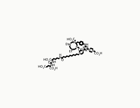 CCN1CCN(CC)CCN(CC(=O)O)C(Cc2ccc(Nc3nc(N4CCN(CCCCCCCCCCC(=O)NCCCC[C@H](NC(=O)N[C@@H](CCC(=O)O)C(=O)O)C(=O)O)CC4)nc(N4CCN(CC(=O)O)CC4)n3)cc2)CN(CC(=O)O)CC1